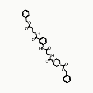 O=C(CNC(=O)N1CCN(C(=O)OCc2ccccc2)CC1)Nc1cccc(C(=O)NCCC(=O)OCc2ccccc2)c1